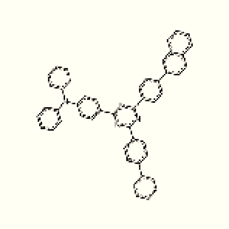 c1ccc(-c2ccc(-c3nc(-c4ccc(-c5ccc6ccccc6c5)cc4)nc(-c4ccc(N(c5ccccc5)c5ccccc5)cc4)n3)cc2)cc1